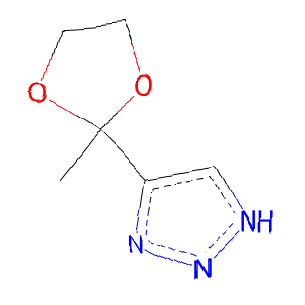 CC1(c2c[nH]nn2)OCCO1